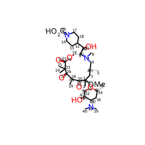 CO[C@]1(C)C[C@@H](C)CN(C)[C@@H]([C@H](O)C2CCN(C(=O)O)CC2)COC(=O)C(C)(C)C(=O)[C@H](C)[C@H]1O[C@@H]1O[C@H](C)C[C@H](N(C)C)[C@H]1O